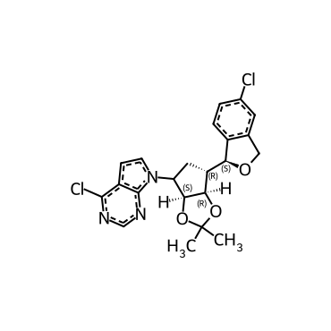 CC1(C)O[C@@H]2[C@@H]([C@@H]3OCc4cc(Cl)ccc43)CC(n3ccc4c(Cl)ncnc43)[C@@H]2O1